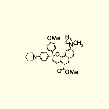 COC(=O)c1cc2ccc(N(C)C)cc2c2c1C=CC(c1ccc(OC)cc1)(c1ccc(N3CCCCC3)cc1)O2